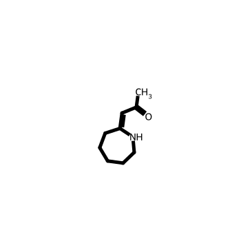 CC(=O)C=C1CCCCCN1